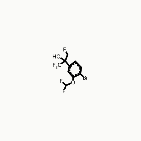 OC(CF)(c1ccc(Br)c(OC(F)F)c1)C(F)(F)F